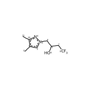 Cc1cn(CC(O)CC(F)(F)F)nc1C